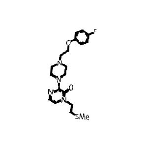 CSCCn1ccnc(N2CCN(CCOc3ccc(F)cc3)CC2)c1=O